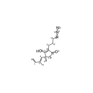 C=C/C(C)=C/[C@@]1(C)SC(=O)C(CCCN=[N+]=[N-])=C1O